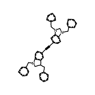 C(#Cc1ccc2c(c1)N(Cc1ccccc1)CN2Cc1ccccc1)c1ccc2c(c1)C(Cc1ccccc1)CN2Cc1ccccc1